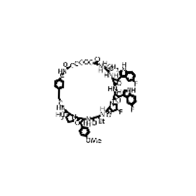 CCC1NC(=O)[C@@H]2C[C@H](F)CN2C(=O)[C@H](Cc2c[nH]c3ccc(F)cc23)NC(=O)[C@H](Cc2c[nH]c3ccc(F)cc23)NC(=O)[C@@H](C)NC(=O)CCCCCC(=O)NCc2ccc(cc2)CCNC(=O)[C@]2(C)CCCN2C(=O)[C@H](Cc2ccc(OC)cc2)NC1=O